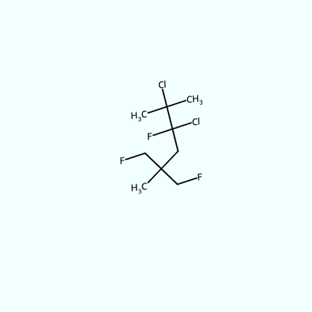 CC(CF)(CF)CC(F)(Cl)C(C)(C)Cl